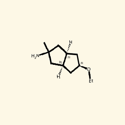 CCO[C@@H]1C[C@@H]2CC(C)(N)C[C@@H]2C1